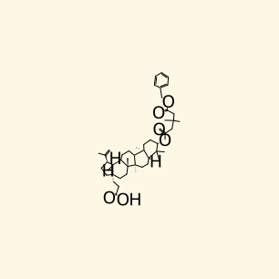 C=C(C)[C@@H]1CC[C@]2(CCC(=O)O)CC[C@]3(C)[C@H](CCC4[C@@]5(C)CC[C@H](OC(=O)CC(C)(C)CC(=O)OCc6ccccc6)C(C)(C)[C@@H]5CC[C@]43C)[C@@H]12